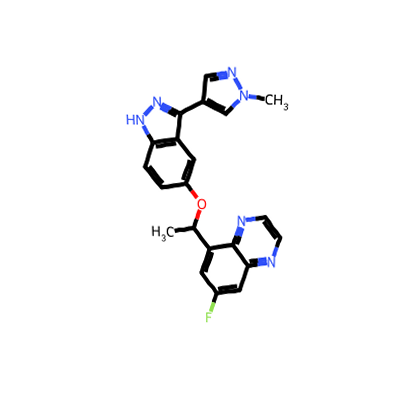 CC(Oc1ccc2[nH]nc(-c3cnn(C)c3)c2c1)c1cc(F)cc2nccnc12